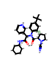 CC(C)(C)c1ccc(N(C(=O)[C@H]2CCCN2C#N)C(C(=O)NC2CCCCC2)c2cccnc2)c(Cl)c1